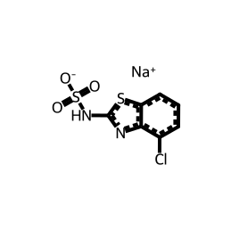 O=S(=O)([O-])Nc1nc2c(Cl)cccc2s1.[Na+]